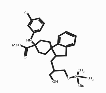 COC(=O)C1(Nc2cccc(Cl)c2)CCC2(CC1)c1ccccc1CC2CC(CO)CO[Si](C)(C)C(C)(C)C